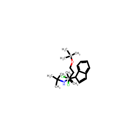 [CH2]=[Ti]([CH3])([Cl])([Cl])([CH2]CO[Si](C)(C)C)([NH]C(C)(C)C)[CH]1C=Cc2ccccc21